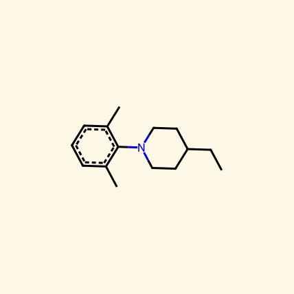 CCC1CCN(c2c(C)cccc2C)CC1